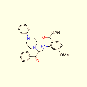 COC(=O)c1ccc(OC)cc1NCC(C(=O)c1ccccc1)N1CCN(c2ccccc2)CC1